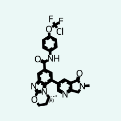 C[C@@H]1CCOc2nc3cc(C(=O)Nc4ccc(OC(F)(F)Cl)cc4)cc(-c4cnc5c(c4)C(=O)N(C)C5)c3n21